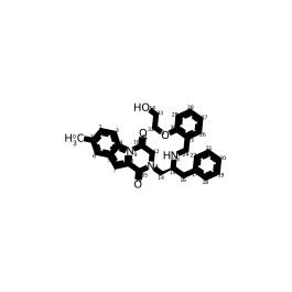 Cc1ccc2c(c1)cc1n2C(=O)CN(C[C@H](Cc2ccccc2)NCc2ccccc2OCCO)C1=O